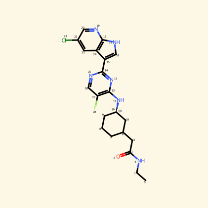 CCNC(=O)CC1CCC[C@@H](Nc2nc(-c3c[nH]c4ncc(Cl)cc34)ncc2F)C1